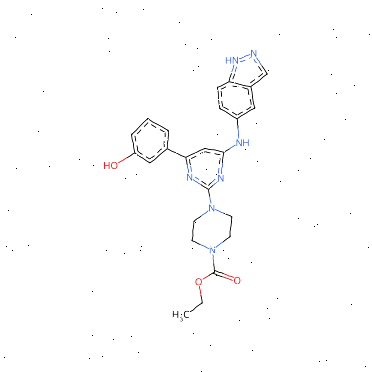 CCOC(=O)N1CCN(c2nc(Nc3ccc4[nH]ncc4c3)cc(-c3cccc(O)c3)n2)CC1